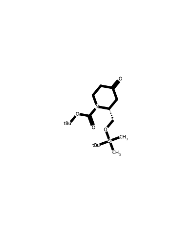 CC(C)(C)OC(=O)N1CCC(=O)C[C@@H]1CO[Si](C)(C)C(C)(C)C